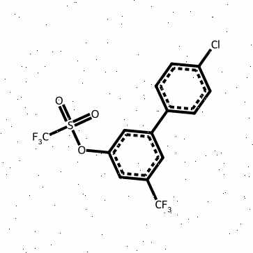 O=S(=O)(Oc1cc(-c2ccc(Cl)cc2)cc(C(F)(F)F)c1)C(F)(F)F